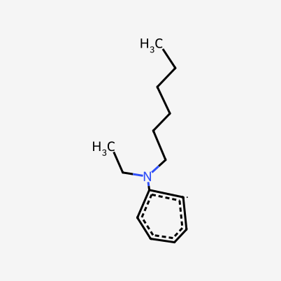 CCCCCCN(CC)c1[c]cccc1